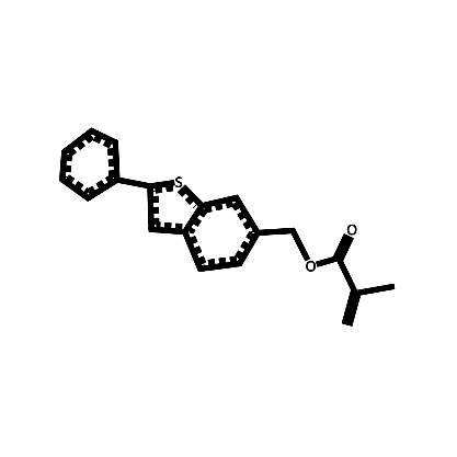 C=C(C)C(=O)OCc1ccc2cc(-c3ccccc3)sc2c1